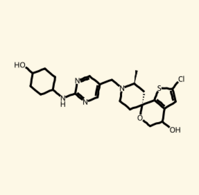 C[C@H]1C[C@@]2(CCN1Cc1cnc(NC3CCC(O)CC3)nc1)OCC(O)c1cc(Cl)sc12